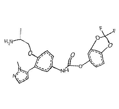 C[C@@H](N)COc1ccc(NC(=O)Oc2ccc3c(c2)OC(F)(F)O3)cc1-c1ccnn1C